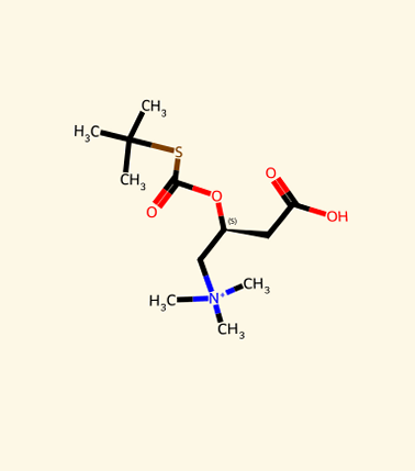 CC(C)(C)SC(=O)O[C@@H](CC(=O)O)C[N+](C)(C)C